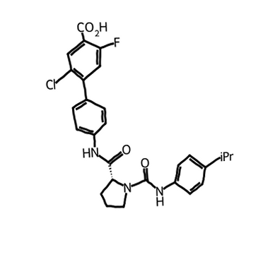 CC(C)c1ccc(NC(=O)N2CCC[C@@H]2C(=O)Nc2ccc(-c3cc(F)c(C(=O)O)cc3Cl)cc2)cc1